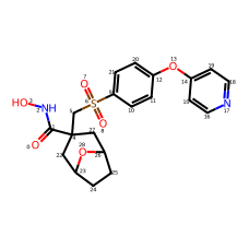 O=C(NO)C1(CS(=O)(=O)c2ccc(Oc3ccncc3)cc2)CC2CCC(C1)O2